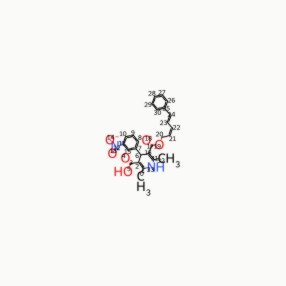 CC1=C(C(=O)O)C(c2cccc([N+](=O)[O-])c2)C(C(=O)OC/C=C\C=C\c2ccccc2)=C(C)N1